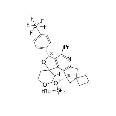 CC(C)c1nc2c(c3c1[C@@H](c1ccc(S(F)(F)(F)(F)F)cc1)OC31CCOCC1I)[C@@H](O[Si](C)(C)C(C)(C)C)CC1(CCC1)C2